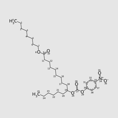 CCCCCCCCOC(=O)CCCCCCCCC(CCCCCC)OC(=O)Oc1ccc([N+](=O)[O-])cc1